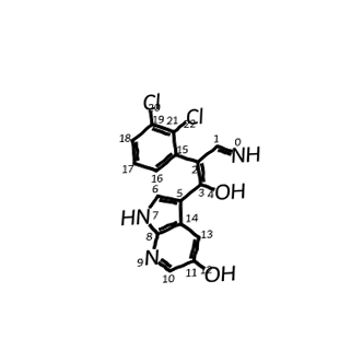 N=C/C(=C(\O)c1c[nH]c2ncc(O)cc12)c1cccc(Cl)c1Cl